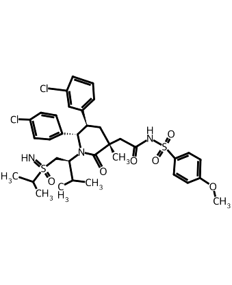 COc1ccc(S(=O)(=O)NC(=O)C[C@@]2(C)C[C@H](c3cccc(Cl)c3)[C@@H](c3ccc(Cl)cc3)N([C@H](CS(=N)(=O)C(C)C)C(C)C)C2=O)cc1